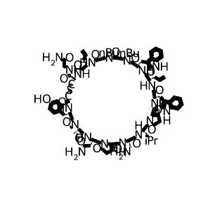 C=CC[C@@H]1NC(=O)[C@H](Cc2c[nH]c3ccccc23)NC(=O)[C@@H]2CCCN2C(=O)[C@H](CC(C)C)NC(=O)[C@H](CN)NC(=O)[C@@H]2CCCN2C(=O)[C@H](CC(N)=O)NC(=O)[C@H](C)N(C)C(=O)[C@H](Cc2ccc(O)cc2)NC(=O)CSC[C@@H](C(=O)NCC(N)=O)NC(=O)[C@H](CC=C)NC(=O)[C@H](CCCC)N(C)C(=O)[C@H](CCCC)N(C)C(=O)[C@H](Cc2c[nH]c3ccccc23)NC1=O